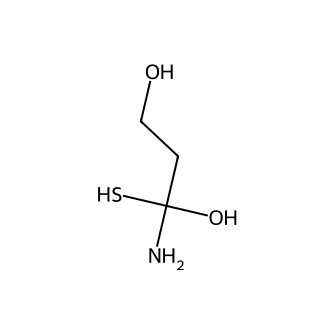 NC(O)(S)CCO